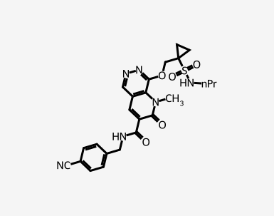 CCCNS(=O)(=O)C1(COc2nncc3cc(C(=O)NCc4ccc(C#N)cc4)c(=O)n(C)c23)CC1